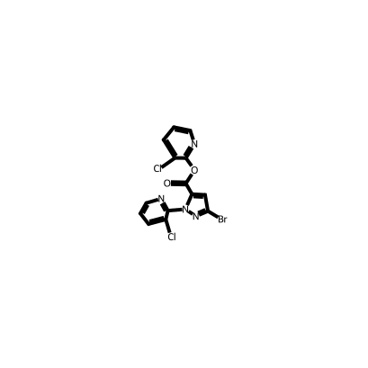 O=C(Oc1ncccc1Cl)c1cc(Br)nn1-c1ncccc1Cl